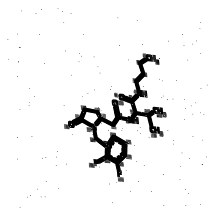 CCCCNC(=O)C(NC(=O)CC1CCC(=O)N1Cc1cccc(F)c1F)C(C)C